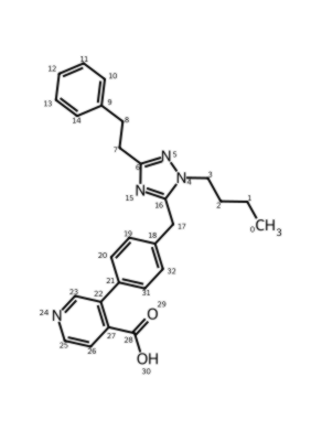 CCCCn1nc(CCc2ccccc2)nc1Cc1ccc(-c2cnccc2C(=O)O)cc1